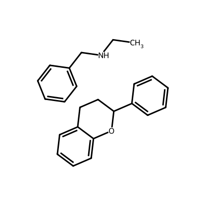 CCNCc1ccccc1.c1ccc(C2CCc3ccccc3O2)cc1